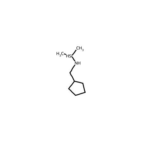 C[SiH](C)NCC1CCCC1